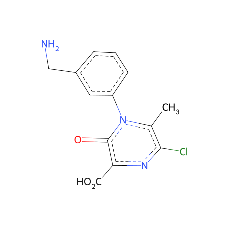 Cc1c(Cl)nc(C(=O)O)c(=O)n1-c1cccc(CN)c1